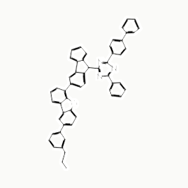 CCCc1cccc(-c2ccc3oc4c(-c5ccc6c(c5)-c5ccccc5C6c5nc(-c6ccccc6)nc(-c6ccc(-c7ccccc7)cc6)n5)cccc4c3c2)c1